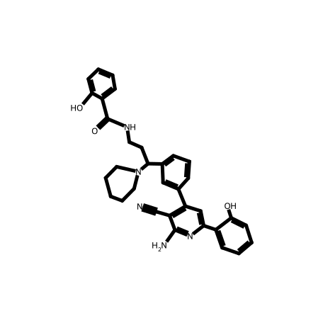 N#Cc1c(-c2cccc(C(CCNC(=O)c3ccccc3O)N3CCCCC3)c2)cc(-c2ccccc2O)nc1N